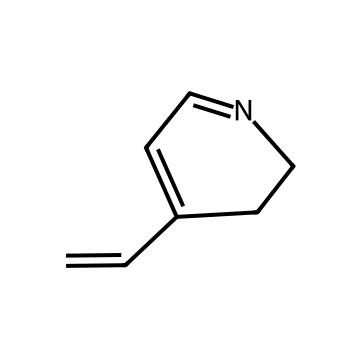 C=CC1=CC=NCC1